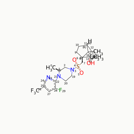 C[C@H]1CN(S(=O)(=O)C[C@]23CC[C@H](CC2(C)O)C3(C)C)CCN1c1ncc(C(F)(F)F)cc1F